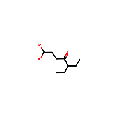 CCC(CC)C(=O)CCC(O)O